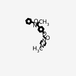 Cc1oc(-c2ccccc2)nc1-c1ccc(OCC(=O)N2CCN(C)CC2)cc1